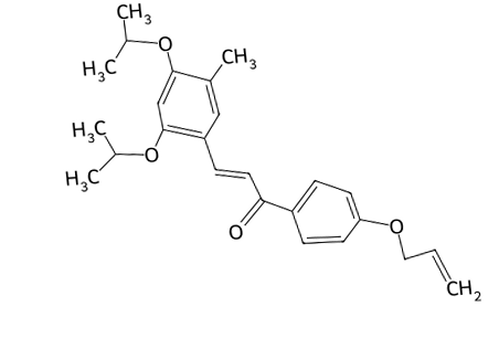 C=CCOc1ccc(C(=O)C=Cc2cc(C)c(OC(C)C)cc2OC(C)C)cc1